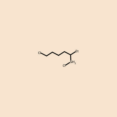 CCC(CCCCCl)[SiH2]Cl